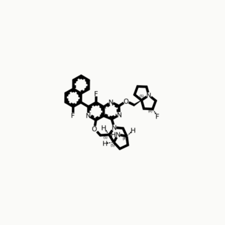 Fc1ccc2ccccc2c1-c1nc2c3c(nc(OC[C@@]45CCCN4C[C@H](F)C5)nc3c1F)N1C[C@H]3CC[C@H](N3)[C@H]1CO2